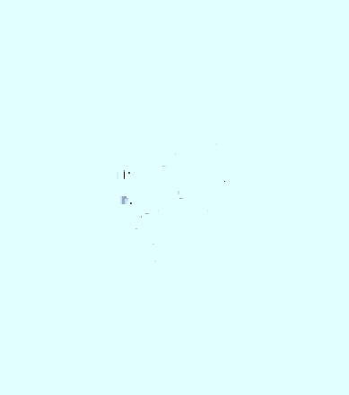 O=c1[nH][nH]c2c1CCCC2